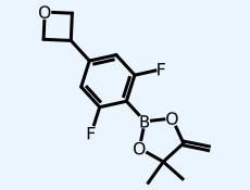 C=C1OB(c2c(F)cc(C3COC3)cc2F)OC1(C)C